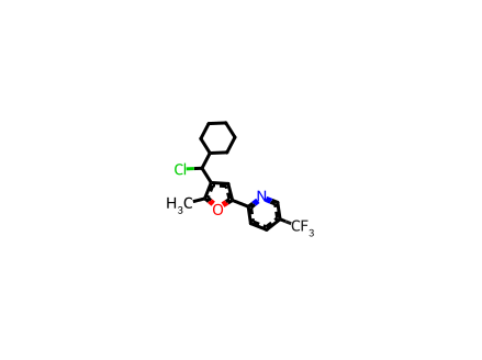 Cc1oc(-c2ccc(C(F)(F)F)cn2)cc1C(Cl)C1CCCCC1